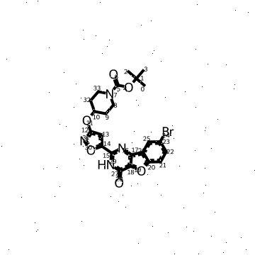 CC(C)(C)OC(=O)N1CCC(Oc2cc(-c3nc4c(oc5ccc(Br)cc54)c(=O)[nH]3)on2)CC1